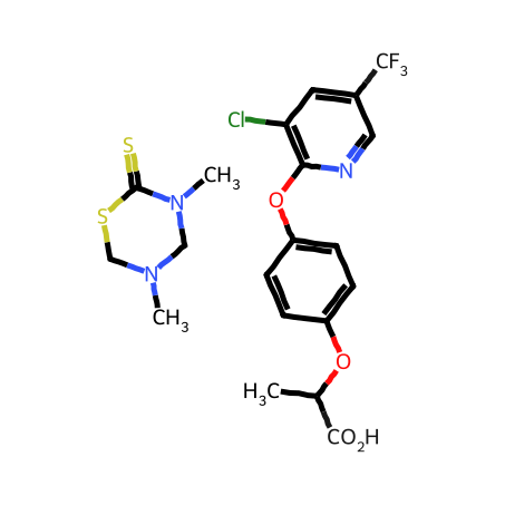 CC(Oc1ccc(Oc2ncc(C(F)(F)F)cc2Cl)cc1)C(=O)O.CN1CSC(=S)N(C)C1